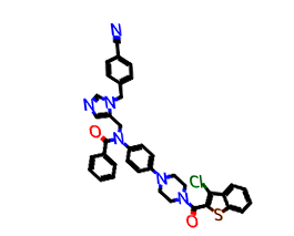 N#Cc1ccc(Cn2cncc2CN(C(=O)c2ccccc2)c2ccc(N3CCN(C(=O)c4sc5ccccc5c4Cl)CC3)cc2)cc1